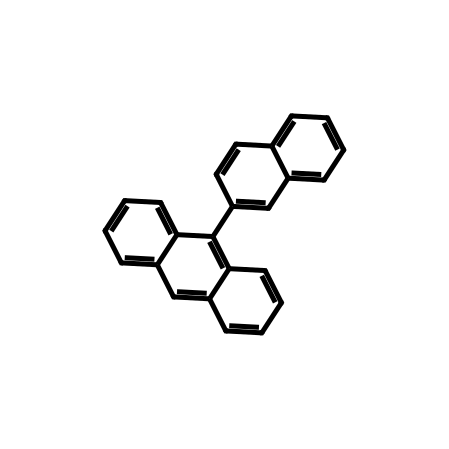 c1ccc2cc(-c3c4ccccc4cc4ccccc34)ccc2c1